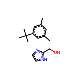 Cc1cc(C)cc(C(C)(C)C)c1.OCc1ncc[nH]1